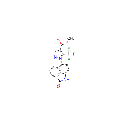 COC(=O)c1cnn(-c2ccc3c4c(cccc24)C(=O)N3)c1C(F)(F)F